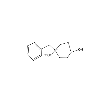 O=C([O-])[N+]1(Cc2ccccc2)CCC(O)CC1